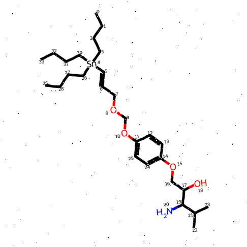 CCC[CH2][Sn]([CH]=CCOCOc1ccc(OCC(O)C(N)C(C)C)cc1)([CH2]CCC)[CH2]CCC